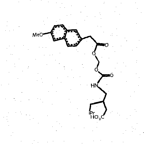 COc1ccc2cc(CC(=O)OCOC(=O)NCC(CC(=O)O)CC(C)C)ccc2c1